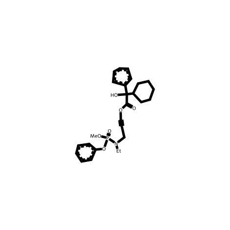 CCN(CC#COC(=O)C(O)(c1ccccc1)C1CCCCC1)P(=O)(OC)Oc1ccccc1